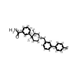 C[C@H]1CN(Cc2cccc(-c3ccc(F)cc3)c2)CC[C@@]1(C)c1cccc(C(N)=O)c1